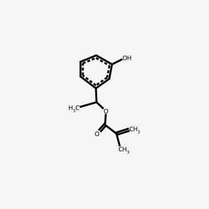 C=C(C)C(=O)OC(C)c1cccc(O)c1